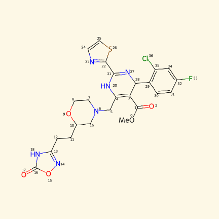 COC(=O)C1=C(CN2CCOC(CCc3noc(=O)[nH]3)C2)NC(c2nccs2)=NC1c1ccc(F)cc1Cl